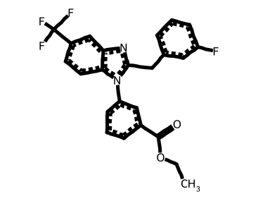 CCOC(=O)c1cccc(-n2c(Cc3cccc(F)c3)nc3cc(C(F)(F)F)ccc32)c1